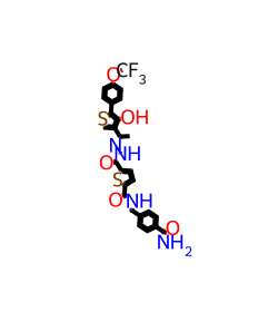 C/C(=N\NC(=O)c1ccc(C(=O)NCc2ccc(C(N)=O)cc2)s1)c1csc(-c2ccc(OC(F)(F)F)cc2)c1O